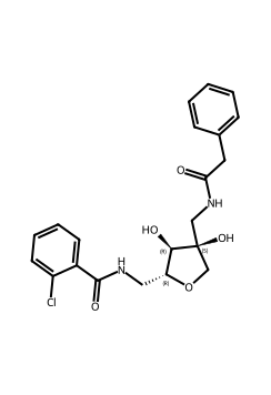 O=C(Cc1ccccc1)NC[C@]1(O)CO[C@H](CNC(=O)c2ccccc2Cl)[C@H]1O